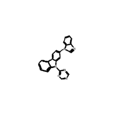 c1ccc2c(c1)ncn2-c1ccc2c3ccccc3n(-c3ncncn3)c2c1